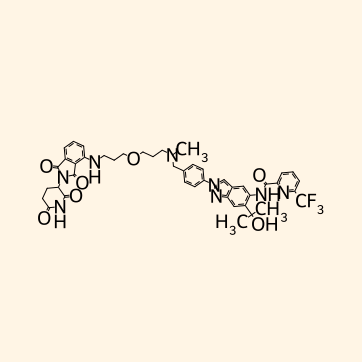 CN(CCCOCCCNc1cccc2c1C(=O)N(C1CCC(=O)NC1=O)C2=O)Cc1ccc(-n2cc3cc(NC(=O)c4cccc(C(F)(F)F)n4)c(C(C)(C)O)cc3n2)cc1